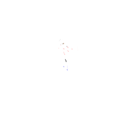 CCN(CC)CC#CCOC(=O)C(O)(c1cccs1)C1CCCC1